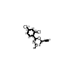 C#CC(I)OC(=NOC)c1ccc(Cl)cc1Cl